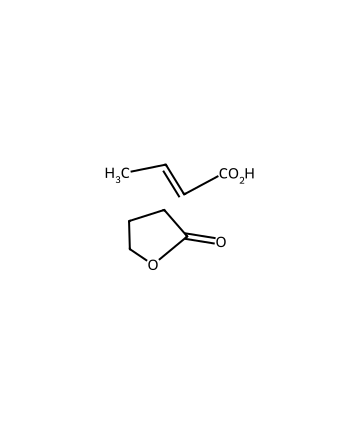 CC=CC(=O)O.O=C1CCCO1